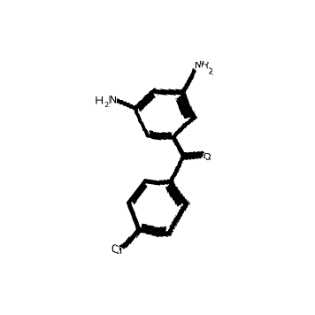 Nc1cc(N)cc(C(=O)c2ccc(Cl)cc2)c1